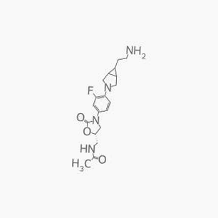 CC(=O)NC[C@H]1CN(c2ccc(N3CC4C(CCN)C4C3)c(F)c2)C(=O)O1